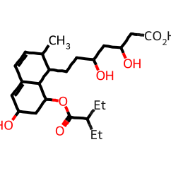 CCC(CC)C(=O)OC1CC(O)C=C2C=CC(C)C(CCC(O)CC(O)CC(=O)O)C21